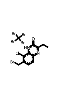 BrC(Br)(Br)Br.CCc1nc2ccc(CBr)c(Cl)c2[nH]c1=O